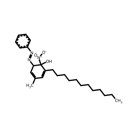 CCCCCCCCCCCCC1=CC(C)=CC(N=Nc2ccccc2)C1(O)[N+](=O)[O-]